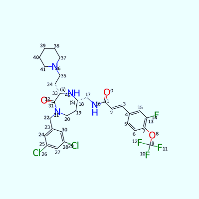 O=C(C=Cc1ccc(OC(F)(F)F)c(F)c1)NC[C@@H]1CCN(Cc2cc(Cl)cc(Cl)c2)C(=O)[C@H](CCN2CCCCC2)N1